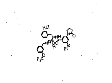 CCOc1cc(C(=O)N[C@@H](Cc2ccccc2)[C@H](O)CNCc2cccc(OC(F)(F)F)c2)cc(N2CCCC2=O)c1.Cl